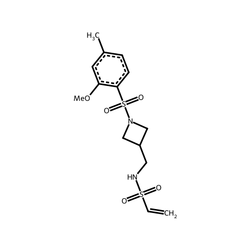 C=CS(=O)(=O)NCC1CN(S(=O)(=O)c2ccc(C)cc2OC)C1